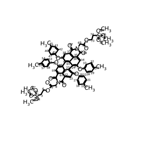 CO[Si](CCOC(=O)CN1C(=O)c2cc(Oc3ccc(C)cc3)c3c4c(Oc5ccc(C)cc5)cc5c6c(cc(Oc7ccc(C)cc7)c(c7c(Oc8ccc(C)cc8)cc(c2c37)C1=O)c64)C(=O)N(CC(=O)OCC[Si](OC)(OC)OC)C5=O)(OC)OC